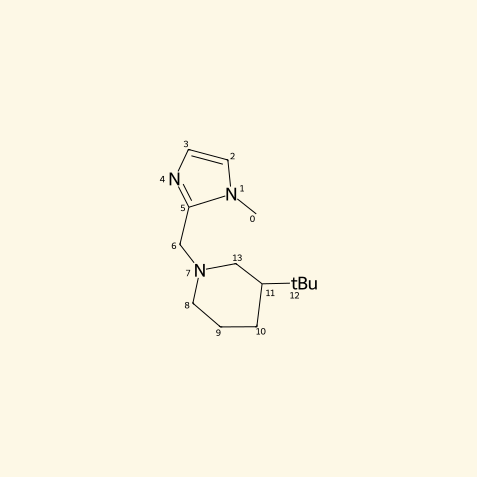 Cn1ccnc1CN1CCCC(C(C)(C)C)C1